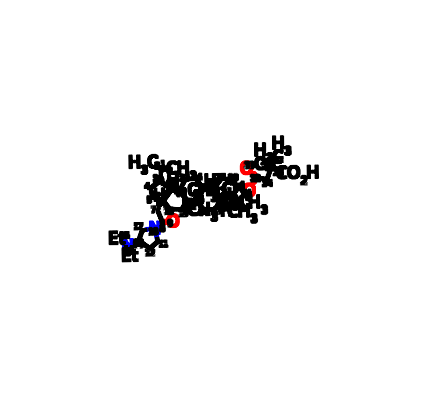 C=C(C)[C@@H]1CC[C@]2(CC(=O)N3CC[C@H](N(CC)CC)C3)CC[C@]3(C)[C@H](CC[C@@H]4[C@@]5(C)CC[C@H](OC(=O)CC(C)(C)C(=O)O)C(C)(C)[C@@H]5CC[C@]43C)[C@@H]12